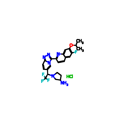 CC(C)Oc1cc2nc(-c3nnc4ccc([C@@H](N5CCC(N)C5)C(F)(F)F)cn34)ccc2cc1F.Cl